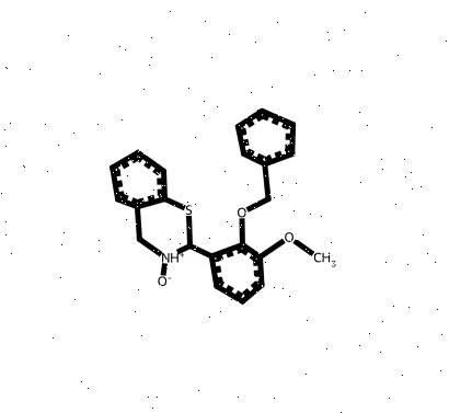 COc1cccc(C2Sc3ccccc3C[NH+]2[O-])c1OCc1ccccc1